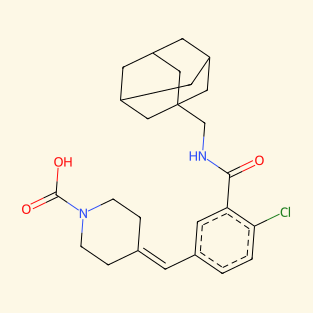 O=C(NCC12CC3CC(CC(C3)C1)C2)c1cc(C=C2CCN(C(=O)O)CC2)ccc1Cl